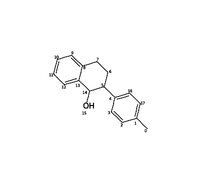 Cc1ccc(C2CCc3ccccc3C2O)cc1